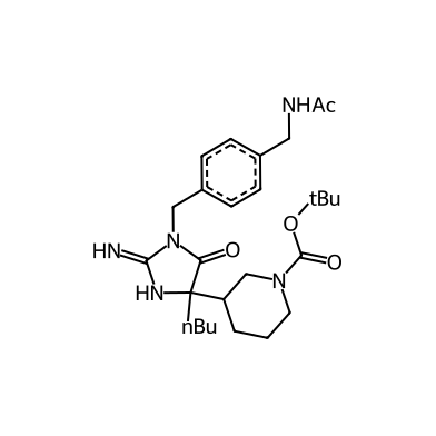 CCCCC1(C2CCCN(C(=O)OC(C)(C)C)C2)NC(=N)N(Cc2ccc(CNC(C)=O)cc2)C1=O